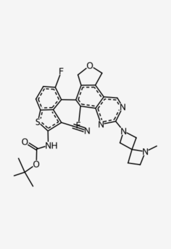 CN1CCC12CN(c1ncc3c4c(c(-c5c(F)ccc6sc(NC(=O)OC(C)(C)C)c(C#N)c56)c(F)c3n1)COC4)C2